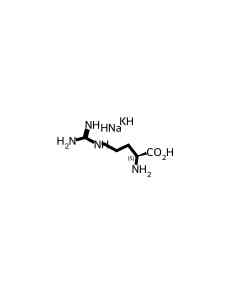 N=C(N)NCCC[C@H](N)C(=O)O.[KH].[NaH]